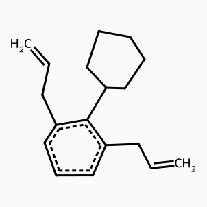 C=CCc1cccc(CC=C)c1C1CCCCC1